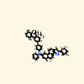 CC1=C(c2cc(-c3ccc(N(c4ccccc4)c4ccc5ccc6c7c(ccc6c5c4)CC(c4ccccc4)=N7)cc3)ccc2C)C=CCC1